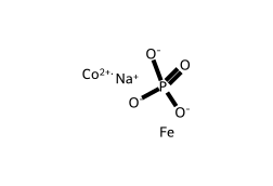 O=P([O-])([O-])[O-].[Co+2].[Fe].[Na+]